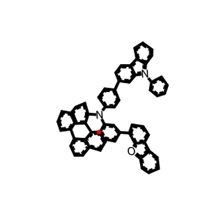 c1ccc(-c2cccc3cccc(-c4ccccc4N(c4ccc(-c5ccc6c7ccccc7n(-c7ccccc7)c6c5)cc4)c4cccc(-c5cccc6c5oc5ccccc56)c4)c23)cc1